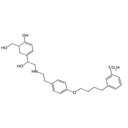 O=C(O)c1cccc(CCCCOc2ccc(CCNCC(O)C3=CC=C(O)C(CO)C3)cc2)c1